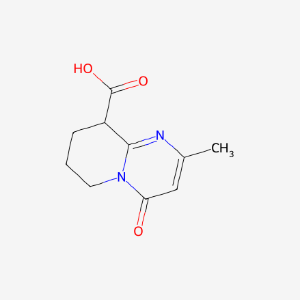 Cc1cc(=O)n2c(n1)C(C(=O)O)CCC2